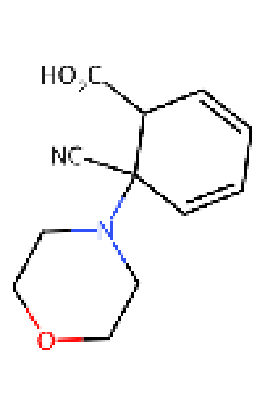 N#CC1(N2CCOCC2)C=CC=CC1C(=O)O